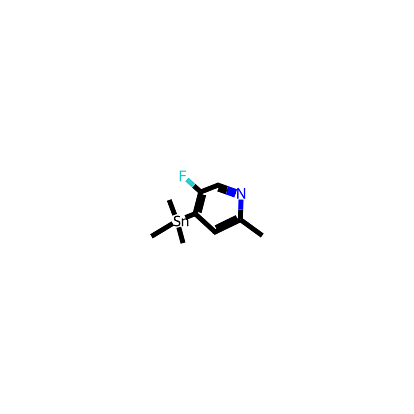 Cc1c[c]([Sn]([CH3])([CH3])[CH3])c(F)cn1